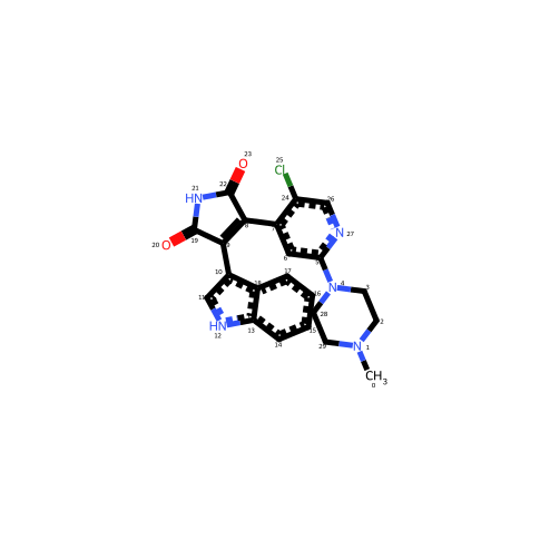 CN1CCN(c2cc(C3=C(c4c[nH]c5ccccc45)C(=O)NC3=O)c(Cl)cn2)CC1